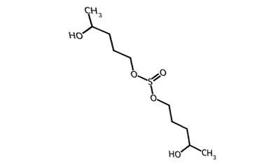 CC(O)CCCOS(=O)OCCCC(C)O